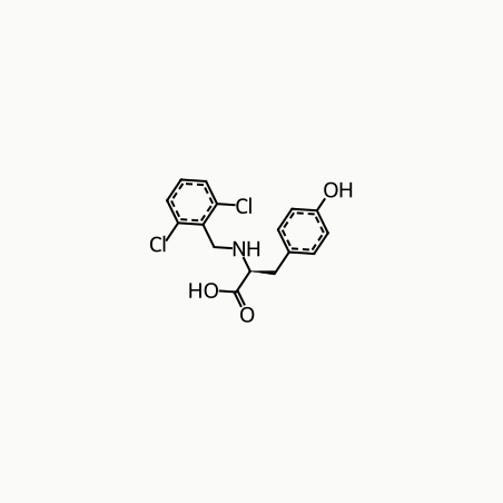 O=C(O)[C@H](Cc1ccc(O)cc1)NCc1c(Cl)cccc1Cl